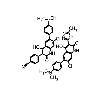 CN(C)c1ccc(-c2cc3c(O)c(-c4ccc(C#N)cc4)c(=O)[nH]c3cc2Cl)cc1.Cc1nnc(-c2c(O)c3cc(-c4ccc(N(C)C)cc4)c(Cl)cc3[nH]c2=O)o1